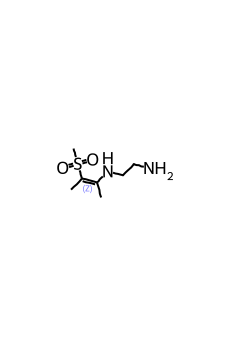 C/C(NCCN)=C(\C)S(C)(=O)=O